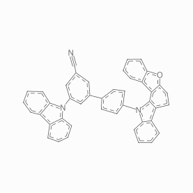 N#Cc1cc(-c2ccc(-n3c4ccccc4c4ccc5oc6ccccc6c5c43)cc2)cc(-n2c3ccccc3c3ccccc32)c1